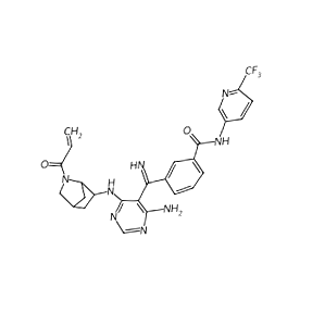 C=CC(=O)N1CC2CC(Nc3ncnc(N)c3C(=N)c3cccc(C(=O)Nc4ccc(C(F)(F)F)nc4)c3)C1C2